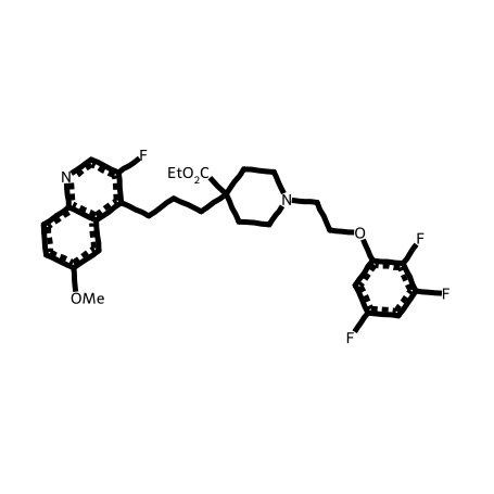 CCOC(=O)C1(CCCc2c(F)cnc3ccc(OC)cc23)CCN(CCOc2cc(F)cc(F)c2F)CC1